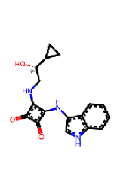 O=c1c(NC[C@H](O)C2CC2)c(Nc2c[nH]c3ccccc23)c1=O